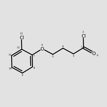 O=C(Cl)CCCOc1ccccc1Cl